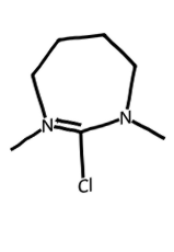 CN1CCCC[N+](C)=C1Cl